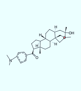 COC[C@]12CC[C@@](C)(O)C[C@@H]1CC[C@H]1[C@@H]3CC[C@H](C(=O)c4ccc(N(C)C)cc4)[C@@]3(C)CC[C@@H]12